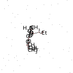 CC/C=C\C/C=C\C/C=C\CCCCCCCC(=O)OC(COC(=O)CCCCC(=O)OC1CCC2(C)C(=CCC3C2CCC2(C)C(C(C)CCCC(C)C)CCC32)C1)COC(=O)CCCN(C)C